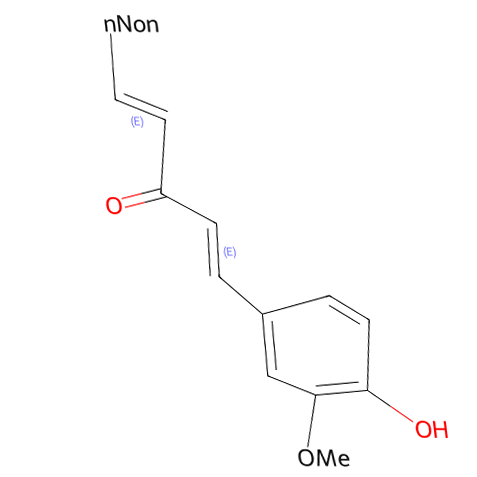 CCCCCCCCC/C=C/C(=O)/C=C/c1ccc(O)c(OC)c1